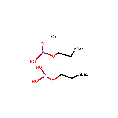 CCCCCCCCCCCCOP(O)O.CCCCCCCCCCCCOP(O)O.[Ca]